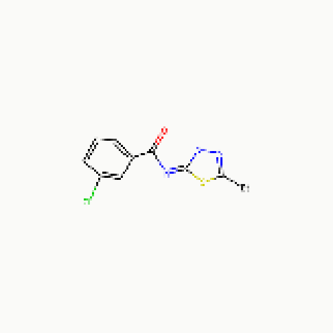 CCC1=N[N]C(=NC(=O)c2cccc(Cl)c2)S1